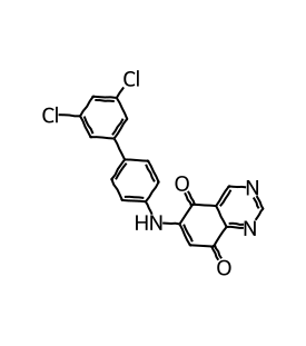 O=C1C(Nc2ccc(-c3cc(Cl)cc(Cl)c3)cc2)=CC(=O)c2ncncc21